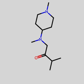 CC(C)C(=O)CN(C)C1CCN(C)CC1